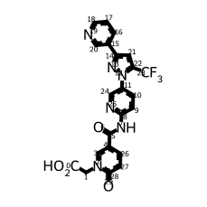 O=C(O)Cn1cc(C(=O)Nc2ccc(-n3nc(-c4cccnc4)cc3C(F)(F)F)cn2)ccc1=O